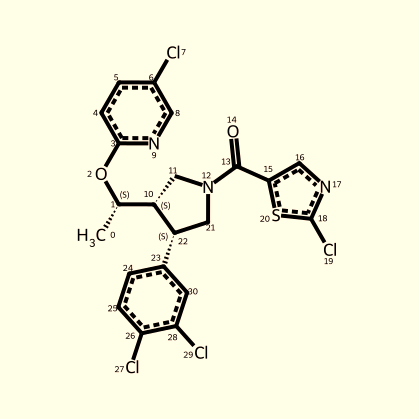 C[C@H](Oc1ccc(Cl)cn1)[C@@H]1CN(C(=O)c2cnc(Cl)s2)C[C@@H]1c1ccc(Cl)c(Cl)c1